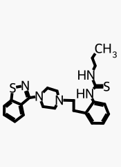 CCCNC(=S)Nc1ccccc1CCN1CCN(c2nsc3ccccc23)CC1